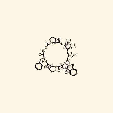 CC(C)C[C@@H]1NC(=O)[C@H]([C@@H](C)O)NC(=O)[C@@H]2CCCN2C(=O)CNC(=O)[C@H](Cc2ccccc2)NC(=O)[C@@H]2CCCN2C(=O)[C@@H]2C[C@@]3(O)c4ccccc4N[C@H]3N2C1=O